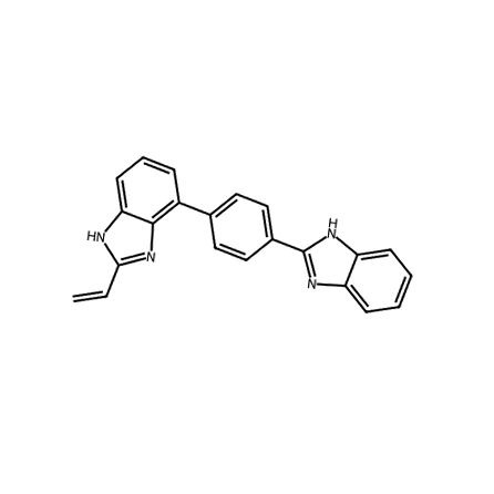 C=Cc1nc2c(-c3ccc(-c4nc5ccccc5[nH]4)cc3)cccc2[nH]1